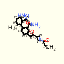 C=CC(=O)N1CC(c2cc3ccc(-c4c(C)ccc5[nH]ncc45)c(C(N)=O)c3o2)C1